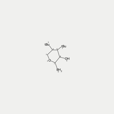 BC1OCC(C(C)(C)C)C(C(C)(C)C)C1O